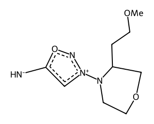 COCCC1COCCN1[n+]1cc([NH-])on1